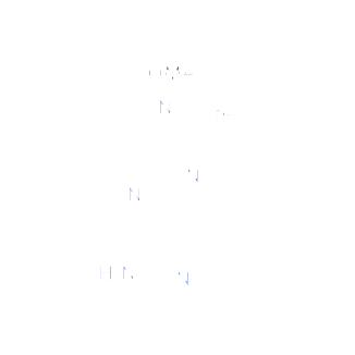 CON=Cc1nc2c(N)nc(C)c(C)c2n1CC(C)C